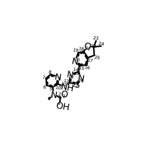 CN(C(=O)O)c1cccnc1Nc1nc(-c2cc3c(cn2)OC(C)(C)C3)ns1